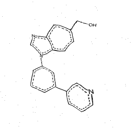 OCc1ccc2c(c1)ncn2-c1cccc(-c2cccnc2)c1